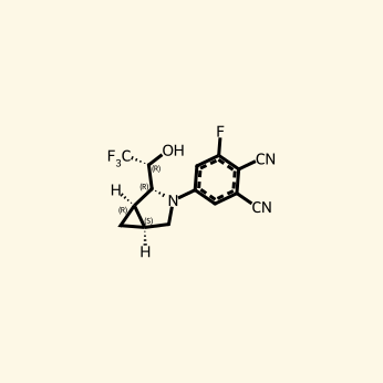 N#Cc1cc(N2C[C@H]3C[C@H]3[C@@H]2[C@@H](O)C(F)(F)F)cc(F)c1C#N